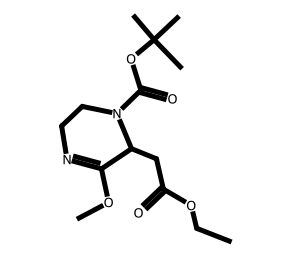 CCOC(=O)CC1C(OC)=NCCN1C(=O)OC(C)(C)C